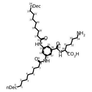 CCCCCCCCCCCCCCCCCC(=O)Nc1cc(NC(=O)CCCCCCCCCCCCCCCCC)cc(C(=O)NC(CCCCN)C(=O)O)c1